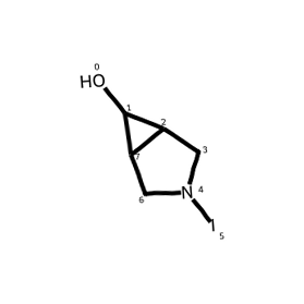 OC1C2CN(I)CC12